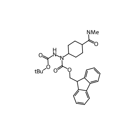 CNC(=O)C1CCC(N(NC(=O)OC(C)(C)C)C(=O)OCC2c3ccccc3-c3ccccc32)CC1